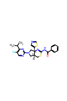 CC(C)c1nc(N2C[C@H]3CSC(NC(=O)c4ccccc4)=N[C@@]3(c3cncs3)C2)ncc1F